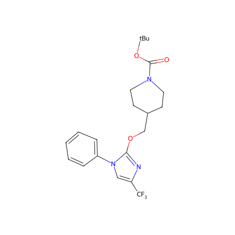 CC(C)(C)OC(=O)N1CCC(COc2nc(C(F)(F)F)cn2-c2ccccc2)CC1